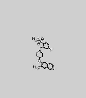 Cc1cc2cnccc2cc1OC1CCN(Cc2cc(F)ccc2S(C)(=O)=O)CC1